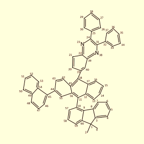 CC1(C)c2ccccc2-c2c(-c3c4ccccc4c(-c4ccc5nc(-c6ccccc6)c(-c6ccccc6)nc5c4)c4ccc(-c5cccc6ccccc56)cc34)cccc21